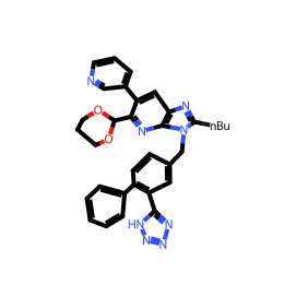 CCCCc1nc2cc(-c3cccnc3)c(C3OCCCO3)nc2n1Cc1ccc(-c2ccccc2)c(-c2nnn[nH]2)c1